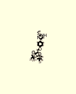 CSC1=N[C@@H](c2ccc(OC[C@@H](O[Si](C)(C)C(C)(C)C)C(=O)OC(C)(C)C)cc2)CN1